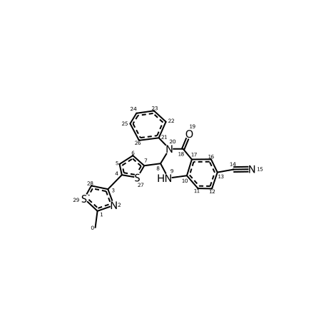 Cc1nc(-c2ccc(C3Nc4ccc(C#N)cc4C(=O)N3c3ccccc3)s2)cs1